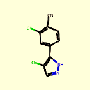 N#Cc1ccc(-c2[nH]ncc2Cl)cc1Cl